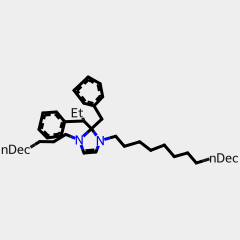 CCCCCCCCCCCCCCCCCCN1C=CN(CCCCCCCCCCCCC)C1(Cc1ccccc1)C(CC)c1ccccc1